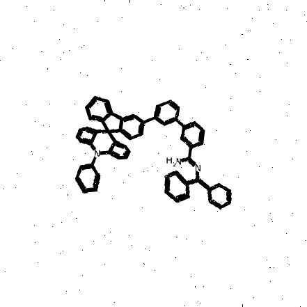 N/C(=N\C(=C1\C=CC=CC1)c1ccccc1)c1cccc(-c2cccc(-c3ccc4c(c3)-c3ccccc3C43c4ccccc4N(c4ccccc4)c4ccccc43)c2)c1